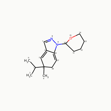 CC(C)C1(C)C=c2cnn(C3CCCCO3)c2=CC1